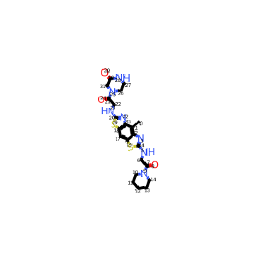 Cc1c2nc(NCC(=O)N3CCCCC3)sc2cc2sc(NCC(=O)N3CCNC(=O)C3)nc12